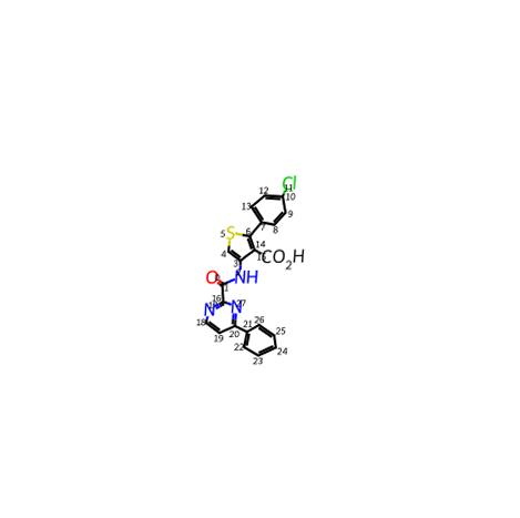 O=C(Nc1csc(-c2ccc(Cl)cc2)c1C(=O)O)c1nccc(-c2ccccc2)n1